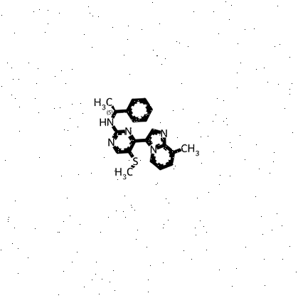 CSc1cnc(N[C@@H](C)c2ccccc2)nc1-c1cnc2c(C)cccn12